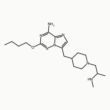 CCCCOc1nc(N)c2ncc(CC3CCN(CC(C)NC)CC3)n2n1